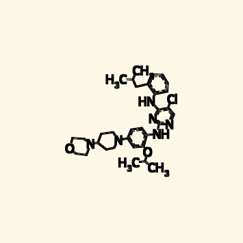 CC(C)Cc1ccccc1Nc1nc(Nc2ccc(N3CCC(N4CCOCC4)CC3)cc2OC(C)C)ncc1Cl